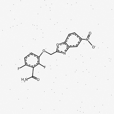 NC(=O)c1c(F)ccc(OCc2nc3cc([N+](=O)[O-])ccc3o2)c1F